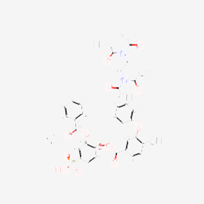 CC(=O)N(CCN(C(C)=O)C(C)=O)C(C)=O.Cc1ccc(C(=O)O)cc1Oc1ccccc1.Cc1ccc(S(=O)(=O)O)cc1OC(=O)c1ccccc1.[NaH]